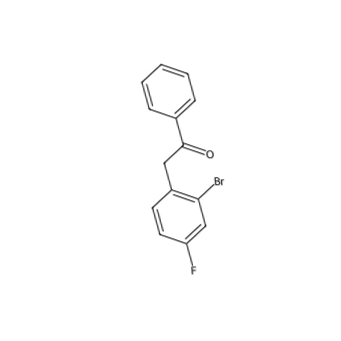 O=C(Cc1ccc(F)cc1Br)c1ccccc1